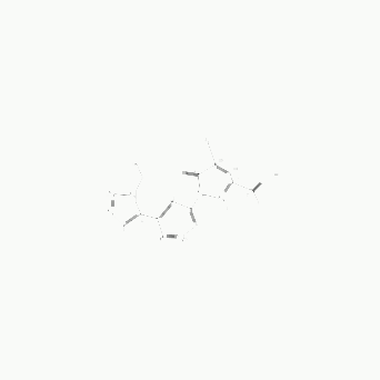 CCn1nncc1-c1cncc(-n2nc(C(=O)O)cc(C)c2=O)c1